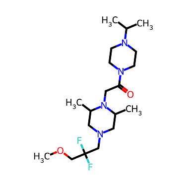 COCC(F)(F)CN1CC(C)N(CC(=O)N2CCN(C(C)C)CC2)C(C)C1